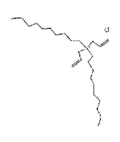 C=CC[N+](CC=C)(CCCCCCCCCC)CCCCCCCCCC.[Cl-]